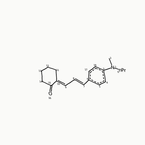 CCCN(C)c1ccc(/C=C/C=C2\CCCCC2=O)cc1